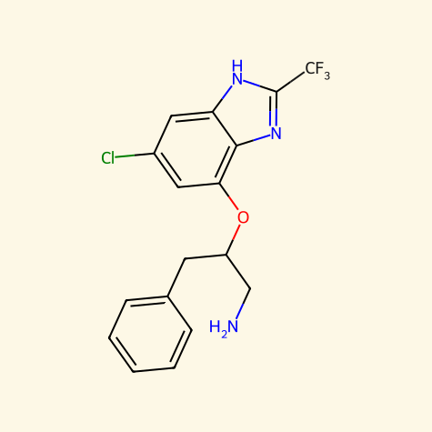 NCC(Cc1ccccc1)Oc1cc(Cl)cc2[nH]c(C(F)(F)F)nc12